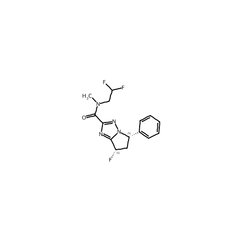 CN(CC(F)F)C(=O)c1nc2n(n1)[C@H](c1ccccc1)C[C@@H]2F